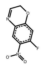 O=[N+]([O-])c1cc2c(cc1F)OCC=N2